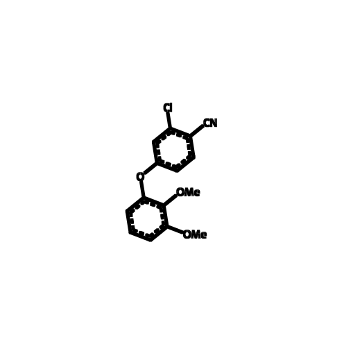 COc1cccc(Oc2ccc(C#N)c(Cl)c2)c1OC